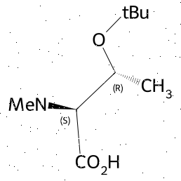 CN[C@H](C(=O)O)[C@@H](C)OC(C)(C)C